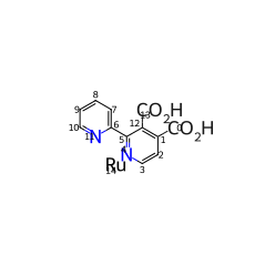 O=C(O)c1ccnc(-c2ccccn2)c1C(=O)O.[Ru]